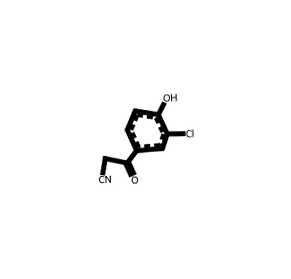 N#CCC(=O)c1ccc(O)c(Cl)c1